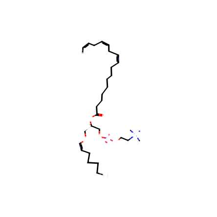 CC/C=C\C/C=C\C/C=C\CCCCCCCC(=O)O[C@H](CO/C=C\CCCCCCCCCCCCCC)COP(=O)([O-])OCC[N+](C)(C)C